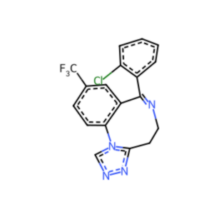 FC(F)(F)c1ccc2c(c1)C(c1ccccc1Cl)=NCCc1nncn1-2